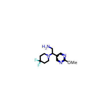 COc1ncc(C(CN)N2CCC(F)(F)CC2)cn1